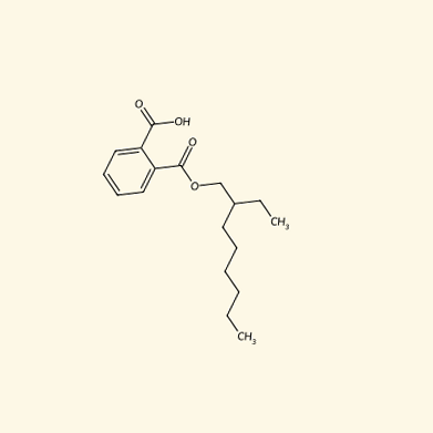 CCCCCCC(CC)COC(=O)c1ccccc1C(=O)O